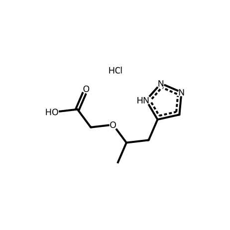 CC(Cc1cnn[nH]1)OCC(=O)O.Cl